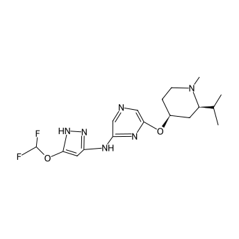 CC(C)[C@H]1C[C@@H](Oc2cncc(Nc3cc(OC(F)F)[nH]n3)n2)CCN1C